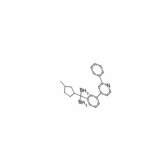 BC(B)(c1cccc(-c2ccnc(-c3ccccc3)c2)c1)C1CCC(C)C1